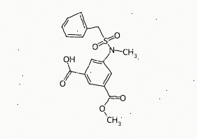 COC(=O)c1cc(C(=O)O)cc(N(C)S(=O)(=O)Cc2ccccc2)c1